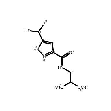 COC(CNC(=O)c1cc(C(F)F)[nH]n1)OC